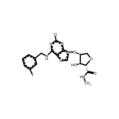 CNC(=O)[C@H]1OC[C@H](On2cnc3c(NCc4cccc(I)c4)nc(Cl)nc32)[C@@H]1O